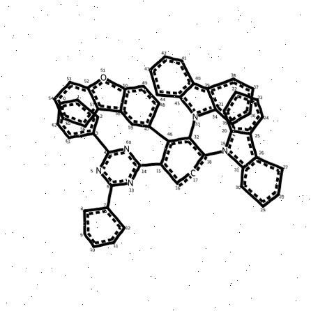 c1ccc(-c2nc(-c3ccccc3)nc(-c3ccc(-n4c5ccccc5c5ccccc54)c(-n4c5ccccc5c5ccccc54)c3-c3ccc4oc5ccccc5c4c3)n2)cc1